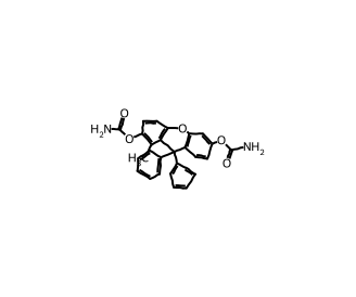 Cc1c(OC(N)=O)ccc2c1C(c1ccccc1)(c1ccccc1)c1ccc(OC(N)=O)cc1O2